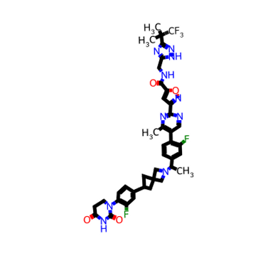 Cc1nc(-c2cc(C(=O)NCc3nc(C(C)(C)C(F)(F)F)n[nH]3)on2)ncc1-c1ccc(C(C)N2CC3(CC(c4ccc(N5CCC(=O)NC5=O)c(F)c4)C3)C2)cc1F